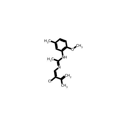 C=C(C)/C(Cl)=C\N=C(/C)Nc1cc(C)ccc1OC